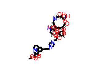 CCOC(=O)c1cn2c3c(cc(C#CCN4CCN(CCC(=O)O[C@H]5[C@H](C)OC(O[C@H]6[C@H](C)[C@@H](OC7O[C@H](C)C[C@H](N(C)C)[C@H]7O)[C@](C)(O)C[C@@H](C)CN(C)[C@H](C)[C@@H](O)[C@](C)(O)[C@@H](I)OC(=O)[C@@H]6C)C[C@]5(C)OC)CC4)cc3c1=O)CCC2